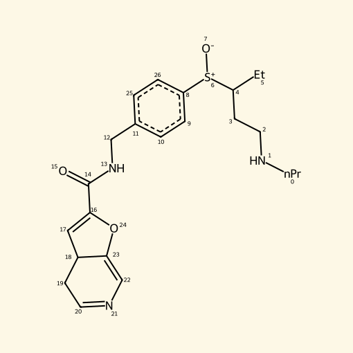 CCCNCCC(CC)[S+]([O-])c1ccc(CNC(=O)C2=CC3CC=NC=C3O2)cc1